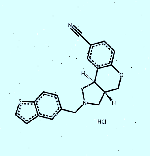 Cl.N#Cc1ccc2c(c1)[C@@H]1CN(Cc3ccc4sccc4c3)C[C@H]1CO2